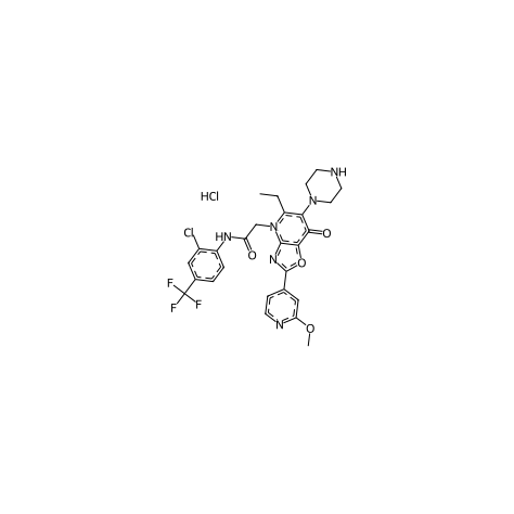 CCc1c(N2CCNCC2)c(=O)c2oc(-c3ccnc(OC)c3)nc2n1CC(=O)Nc1ccc(C(F)(F)F)cc1Cl.Cl